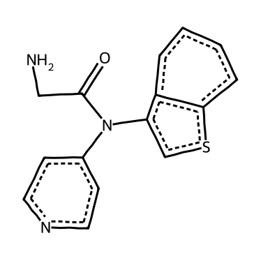 NCC(=O)N(c1ccncc1)c1csc2ccccc12